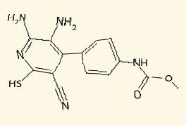 COC(=O)Nc1ccc(-c2c(N)c(N)nc(S)c2C#N)cc1